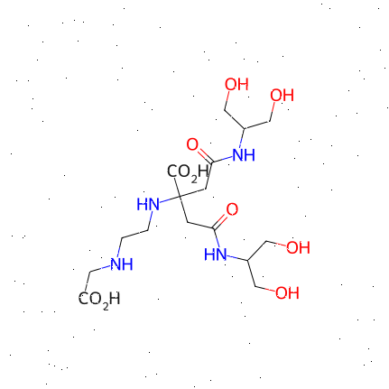 O=C(O)CNCCNC(CC(=O)NC(CO)CO)(CC(=O)NC(CO)CO)C(=O)O